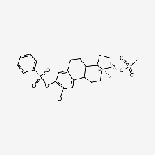 COc1cc2c(cc1OS(=O)(=O)c1ccccc1)CCC1C2CC[C@@]2(C)C1CC[C@@H]2OS(C)(=O)=O